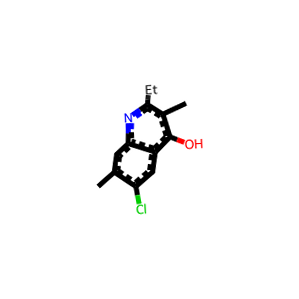 CCc1nc2cc(C)c(Cl)cc2c(O)c1C